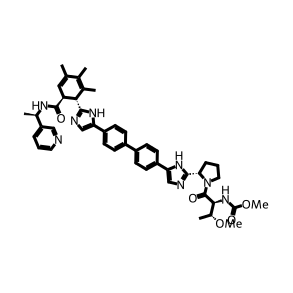 COC(=O)N[C@H](C(=O)N1CCC[C@H]1c1ncc(-c2ccc(-c3ccc(-c4cnc([C@H]5C(C)=C(C)C(C)=C[C@@H]5C(=O)N[C@H](C)c5cccnc5)[nH]4)cc3)cc2)[nH]1)[C@@H](C)OC